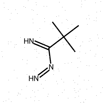 CC(C)(C)C(=N)N=N